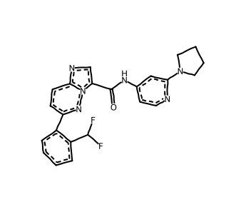 O=C(Nc1ccnc(N2CCCC2)c1)c1cnc2ccc(-c3ccccc3C(F)F)nn12